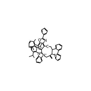 C=C1C[n+]2c(n(-c3c(C(C)C)cccc3C(C)C)c3ccccc32)-c2cc(-c3c(C)cccc3C)c3oc(-c4ccccc4)nc3c2CCC2c3ccccc3-c3cccc[n+]3C12